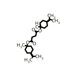 CC(C)=C1CCC(C)(OC(=O)CCC(=O)OC2(C)CCC(=C(C)C)CC2)CC1